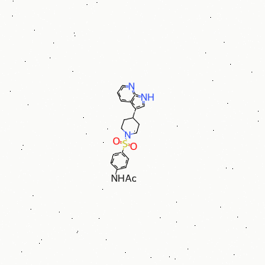 CC(=O)Nc1ccc(S(=O)(=O)N2CCC(c3c[nH]c4ncccc34)CC2)cc1